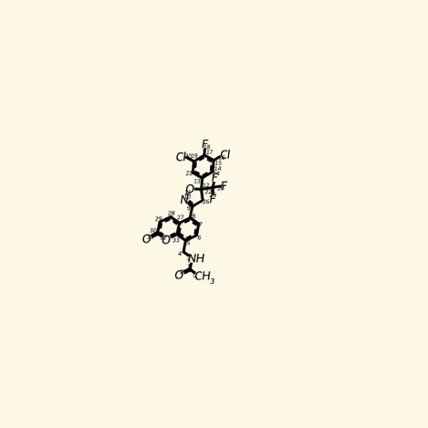 CC(=O)NCc1ccc(C2=NOC(c3cc(Cl)c(F)c(Cl)c3)(C(F)(F)F)C2)c2ccc(=O)oc12